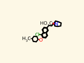 C[C@H]1CC[C@@H](Oc2ccc3cc(CCCN4C5CCC4CC(C(=O)O)C5)ccc3c2Cl)CC1